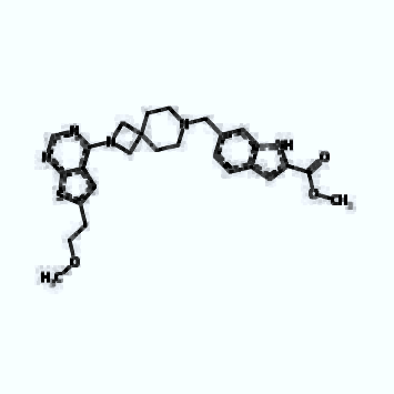 COCCc1cc2c(N3CC4(CCN(Cc5ccc6cc(C(=O)OC)[nH]c6c5)CC4)C3)ncnc2s1